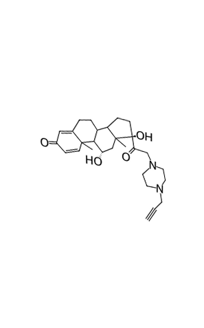 C#CCN1CCN(CC(=O)[C@@]2(O)CCC3C4CCC5=CC(=O)C=CC5(C)C4[C@@H](O)CC32C)CC1